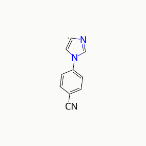 N#Cc1ccc(-n2c[c]nc2)cc1